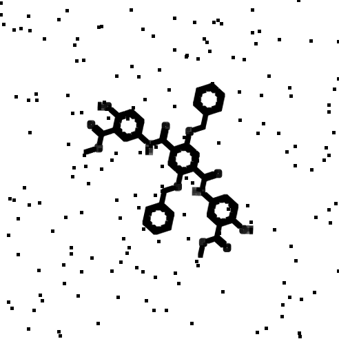 COC(=O)c1cc(NC(=O)c2cc(OCc3ccccc3)c(C(=O)Nc3ccc(O)c(C(=O)OC)c3)cc2OCc2ccccc2)ccc1O